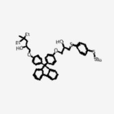 CCC(C)(CC)CC(O)COc1ccc(C2(c3ccc(OCC(O)CSc4ccc(SC(C)(C)C)cc4)cc3)c3ccccc3-c3ccccc32)cc1